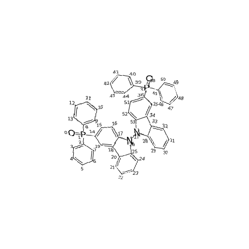 O=P(c1ccccc1)(c1ccccc1)c1ccc2c(c1)c1ccccc1n2-n1c2ccccc2c2cc(P(=O)(c3ccccc3)c3ccccc3)ccc21